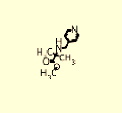 COC(=O)C(C)(C)NCc1ccncc1